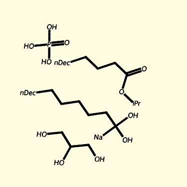 CCCCCCCCCCCCCC(=O)OC(C)C.CCCCCCCCCCCCCCC[C](O)(O)[Na].O=P(O)(O)O.OCC(O)CO